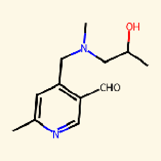 Cc1cc(CN(C)CC(C)O)c(C=O)cn1